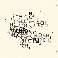 COc1ccc(OP(Oc2ccc(OC)cc2C(C)(C)C)Oc2c(-c3cc(C(C)(C)C)cc(C(C)(C)C)c3OC(=O)OC(C)(C)C)cc(C(C)(C)C)cc2C(C)(C)C)c(C(C)(C)C)c1